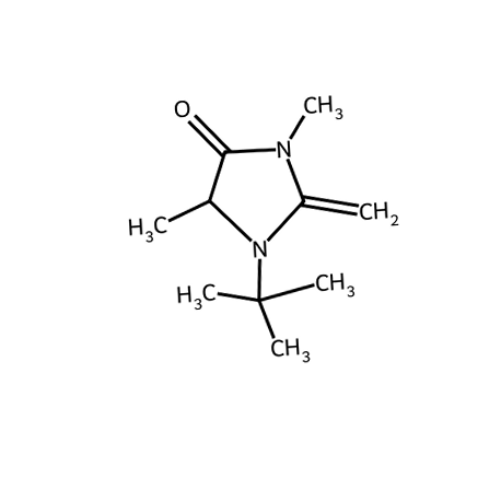 C=C1N(C)C(=O)C(C)N1C(C)(C)C